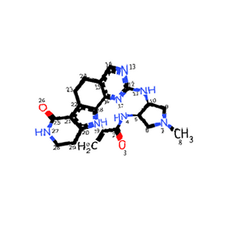 C=CC(=O)N[C@@H]1CN(C)C[C@@H]1Nc1ncc2c(n1)-c1[nH]c3c(c1CC2)C(=O)NCC3